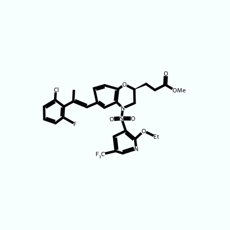 CCOc1ncc(C(F)(F)F)cc1S(=O)(=O)N1C[C@H](CCC(=O)OC)Oc2ccc(C=C(C)c3c(F)cccc3Cl)cc21